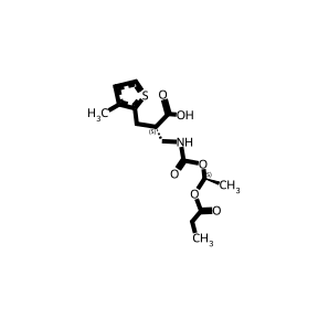 CCC(=O)O[C@H](C)OC(=O)NC[C@H](Cc1sccc1C)C(=O)O